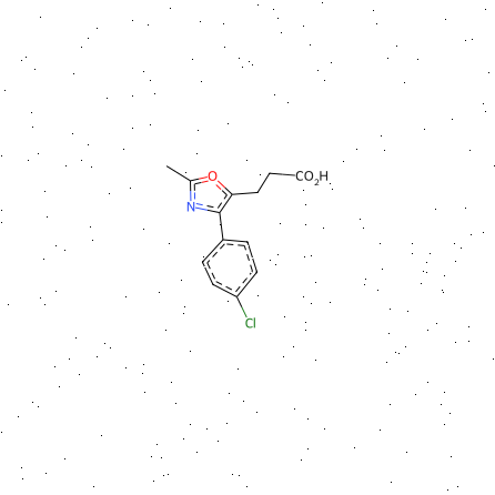 Cc1nc(-c2ccc(Cl)cc2)c(CCC(=O)O)o1